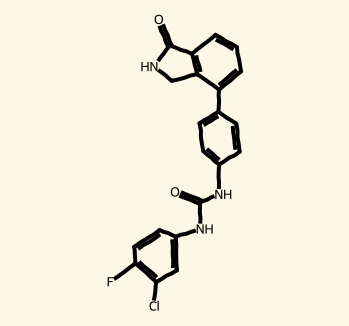 O=C(Nc1ccc(-c2cccc3c2CNC3=O)cc1)Nc1ccc(F)c(Cl)c1